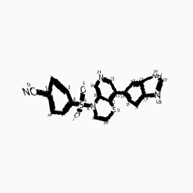 N#Cc1ccc(S(=O)(=O)N2CCSc3c(-c4ccc5nc[nH]c5c4)cncc32)cc1